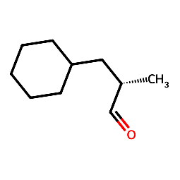 C[C@H](C=O)CC1CCCCC1